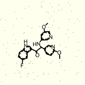 COc1cncc(NC(C(=O)c2c[nH]c3ccc(F)cc23)c2ccc(OC)nc2)c1